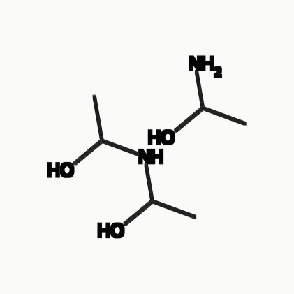 CC(N)O.CC(O)NC(C)O